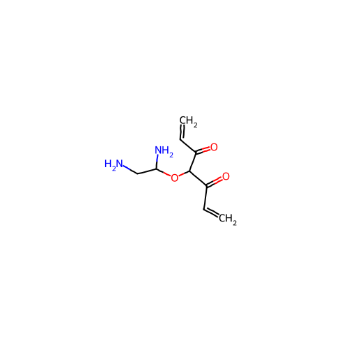 C=CC(=O)C(OC(N)CN)C(=O)C=C